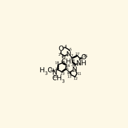 C[C@@H]1COCCN1c1cc(N2CCC[C@H]2c2cccc(N(C)C)c2)[nH]c(=O)c1